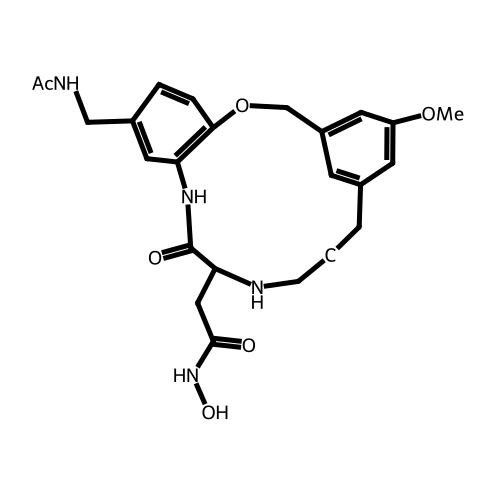 COc1cc2cc(c1)COc1ccc(CNC(C)=O)cc1NC(=O)C(CC(=O)NO)NCCC2